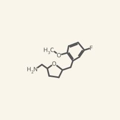 COc1ccc(F)cc1CC1CCC(CN)O1